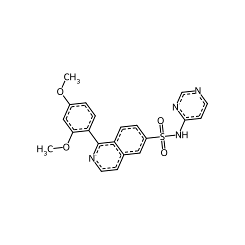 COc1ccc(-c2nccc3cc(S(=O)(=O)Nc4ccncn4)ccc23)c(OC)c1